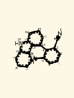 N#Cc1cccc(C#N)c1-c1cccc2[nH]c3ccccc3c12